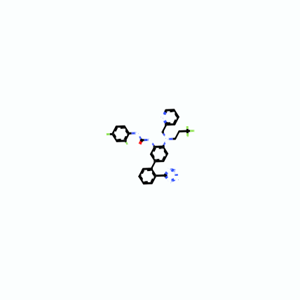 O=C(Nc1ccc(F)cc1F)Nc1cc(-c2ccccc2-c2nnn[nH]2)ccc1N(CCC(F)(F)F)Cc1ccccn1